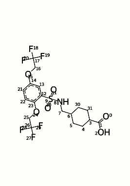 O=C(O)C1CCC(CNS(=O)(=O)c2cc(OCC(F)(F)F)ccc2OCC(F)(F)F)CC1